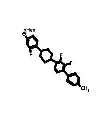 CCCCCCOc1ccc(C2CCC(c3ccc(-c4ccc(C)cc4)c(F)c3F)CC2)c(F)c1